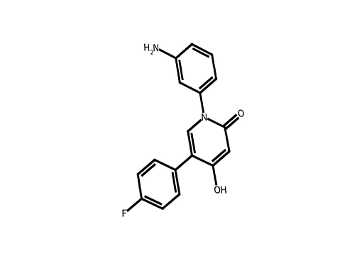 Nc1cccc(-n2cc(-c3ccc(F)cc3)c(O)cc2=O)c1